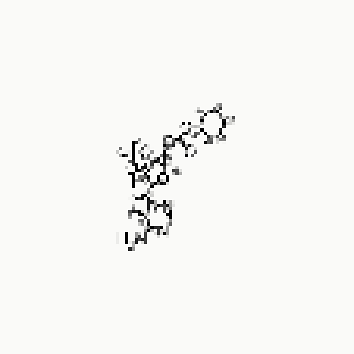 CC1(C)O[C@H]2[C@H](c3ccc4c(N)ncnn34)O[C@]3(C)C(OC(=O)OC4CCCCC4)[C@]23O1